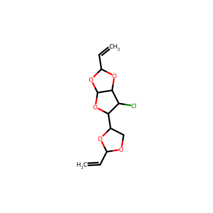 C=CC1OCC(C2OC3OC(C=C)OC3C2Cl)O1